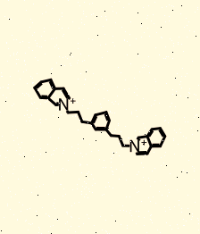 c1cc(CCC[n+]2ccc3ccccc3c2)cc(CCC[n+]2ccc3ccccc3c2)c1